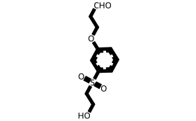 O=CCCOc1cccc(S(=O)(=O)CCO)c1